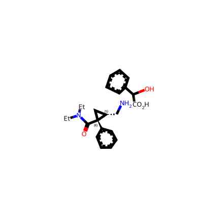 CCN(CC)C(=O)[C@]1(c2ccccc2)C[C@@H]1CN.O=C(O)C(O)c1ccccc1